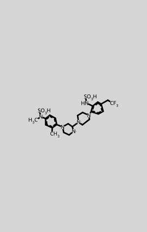 Cc1cc(N(C)S(=O)(=O)O)ccc1N1CC[N]C(N2CCN(c3ccc(CC(F)(F)F)cc3NS(=O)(=O)O)CC2)C1